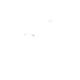 C=C(C1CC1(C)C)[C@@H](N)CCSC